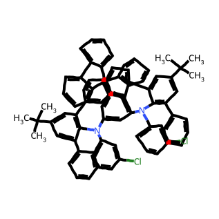 CC(C)(C)c1cc(-c2ccccc2)c(N(c2cccc(Cl)c2)c2cc(N(c3cccc(Cl)c3)c3c(-c4ccccc4)cc(C(C)(C)C)cc3-c3ccccc3)cc(C3(c4ccccc4)c4ccccc4-c4ccccc43)c2)c(-c2ccccc2)c1